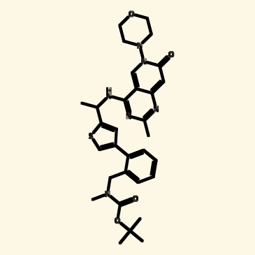 Cc1nc(NC(C)c2cc(-c3ccccc3CN(C)C(=O)OC(C)(C)C)cs2)c2cn(N3CCOCC3)c(=O)cc2n1